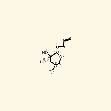 C=CCO[C@@H]1OC[C@@H](O)[C@H](O)C1O